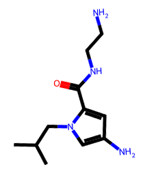 CC(C)Cn1cc(N)cc1C(=O)NCCN